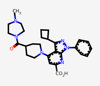 CN1CCN(C(=O)C2CCN(c3cc(C(=O)O)nc4c3c(C3CCC3)nn4-c3ccccc3)CC2)CC1